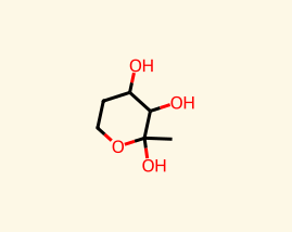 CC1(O)OCCC(O)C1O